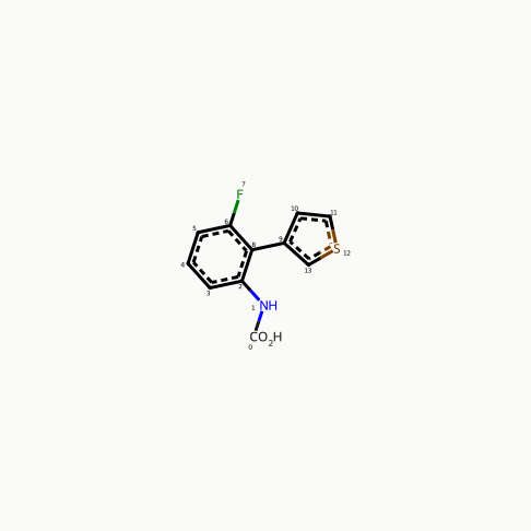 O=C(O)Nc1cccc(F)c1-c1ccsc1